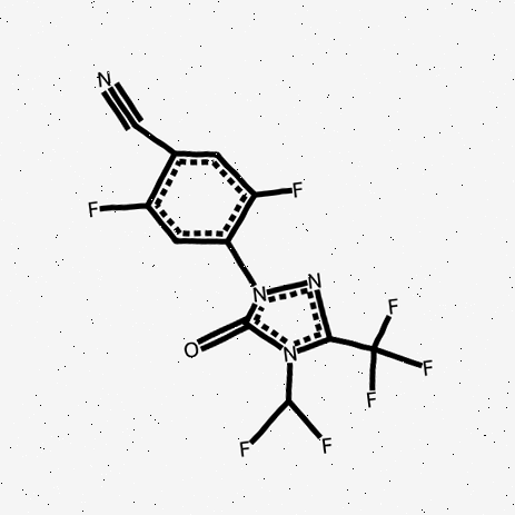 N#Cc1cc(F)c(-n2nc(C(F)(F)F)n(C(F)F)c2=O)cc1F